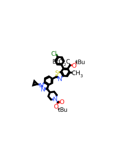 CCOC(=O)[C@@H](OC(C)(C)C)c1c(C)cc2nc(-c3ccc4c(c3)c(C3CCN(C(=O)OC(C)(C)C)CC3)nn4C3CC3)sc2c1-c1ccc(Cl)cc1